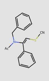 CC(=O)N(Cc1ccccc1)C(=CSC#N)c1ccccc1